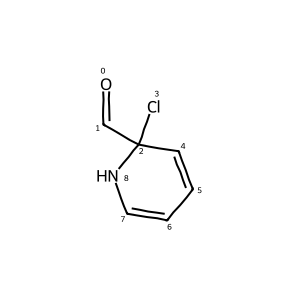 O=CC1(Cl)C=CC=CN1